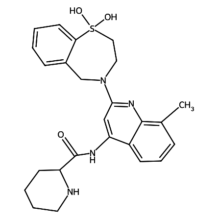 Cc1cccc2c(NC(=O)C3CCCCN3)cc(N3CCS(O)(O)c4ccccc4C3)nc12